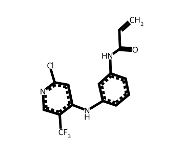 C=CC(=O)Nc1cccc(Nc2cc(Cl)ncc2C(F)(F)F)c1